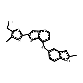 Cc1cc2cc(Nc3ccnc4cc(-c5nc(C)c(CO)s5)sc34)ccc2[nH]1